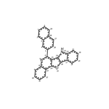 c1ccc2cc(-c3nc4ccccc4c4oc5c6ccccc6[nH]c5c34)ccc2c1